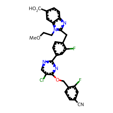 COCCn1c(Cc2ccc(-c3ncc(Cl)c(OCc4ccc(C#N)cc4F)n3)cc2F)nc2ccc(C(=O)O)cc21